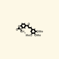 COc1cc(C=CC(=O)c2ccc3oc(=O)n(C)c3c2)cc(OC)c1OC